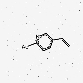 C=Cc1ccc(C(C)=O)nc1